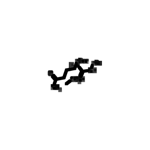 CC(=O)O.CCCCCCCCCCCCCC(N)=O.CCCCNC(=N)N